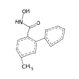 Cc1ccc(C(=O)NO)c(-c2ccccc2)c1